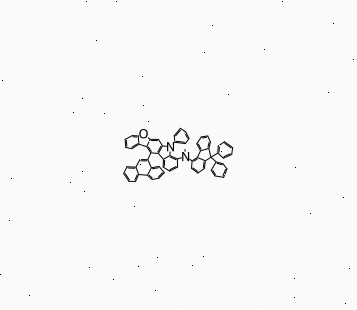 CN(c1cccc2c1-c1ccccc1C2(c1ccccc1)c1ccccc1)c1cccc2c3c(-c4cc5ccccc5c5ccccc45)c4c(cc3n(-c3ccccc3)c12)oc1ccccc14